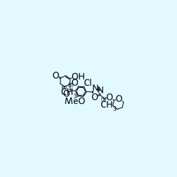 COc1cc(-c2nnc([C@H](C)OC3CCCCO3)o2)c(Cl)c2c1C(=O)[C@@]1(O2)C(O)=CC(=O)C[C@H]1C